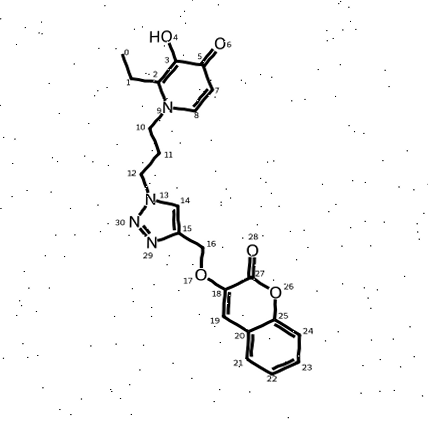 CCc1c(O)c(=O)ccn1CCCn1cc(COc2cc3ccccc3oc2=O)nn1